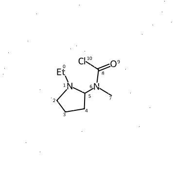 CCN1CCCC1N(C)C(=O)Cl